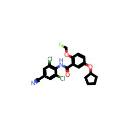 N#Cc1cc(Cl)c(NC(=O)c2cc(OC3CCCC3)ccc2OCF)c(Cl)c1